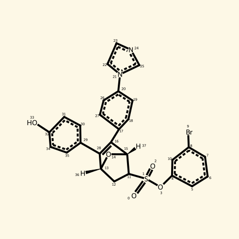 O=S(=O)(Oc1cccc(Br)c1)C1C[C@H]2O[C@@H]1C(c1ccc(-n3ccnc3)cc1)=C2c1ccc(O)cc1